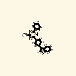 Clc1nc(-c2ccccc2)nc(-c2ccc(-c3csc4ccccc34)cc2)n1